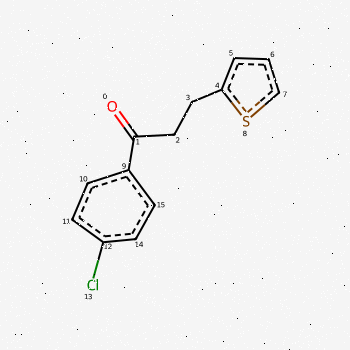 O=C(CCc1cccs1)c1ccc(Cl)cc1